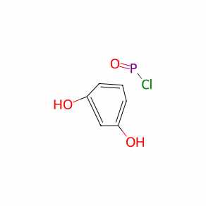 O=PCl.Oc1cccc(O)c1